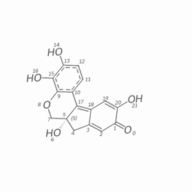 O=C1C=C2C[C@@]3(O)COc4c(ccc(O)c4O)C3=C2C=C1O